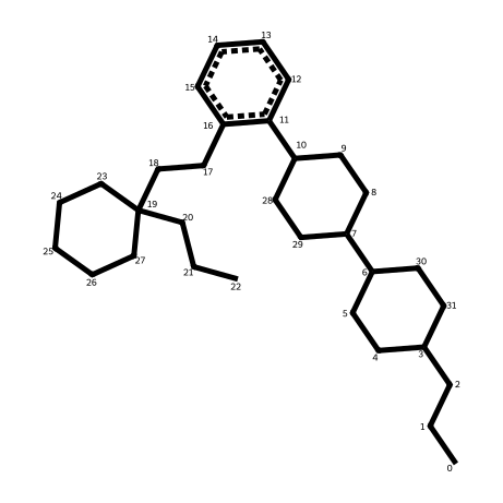 CCCC1CCC(C2CCC(c3ccccc3CCC3(CCC)CCCCC3)CC2)CC1